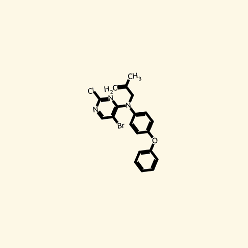 C=C(C)CN(c1ccc(Oc2ccccc2)cc1)c1nc(Cl)ncc1Br